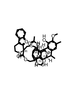 COc1c(C)cc2c(c1O)[C@H]1N[C@@H](C2C)[C@H](O)N2[C@H]1[C@@H]1SC[C@]3(NCCc4c3oc3ccccc43)C(=O)OC[C@H]2c2c3c(c(C)c(OC(C)=O)c21)OCO3